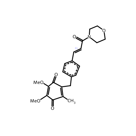 COC1=C(OC)C(=O)C(Cc2ccc(/C=C/C(=O)N3CCOCC3)cc2)=C(C)C1=O